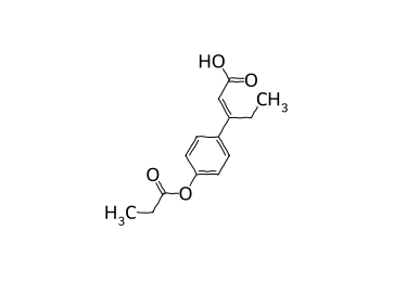 CCC(=O)Oc1ccc(C(=CC(=O)O)CC)cc1